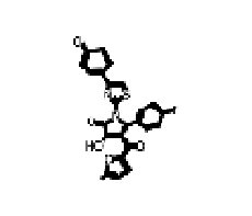 Cc1ccc(C(=O)C2=C(O)C(=O)N(C3=NC(c4ccc(Cl)cc4)CS3)C2c2ccc(F)cc2)o1